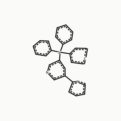 c1ccc([Si](c2ccccc2)(c2ccccc2)c2cncc(-c3ccccn3)c2)cc1